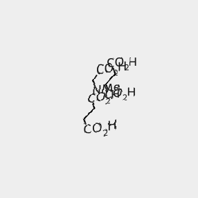 CNCC(=O)O.O=C(O)CCC(=O)O.O=C(O)CCC(=O)O